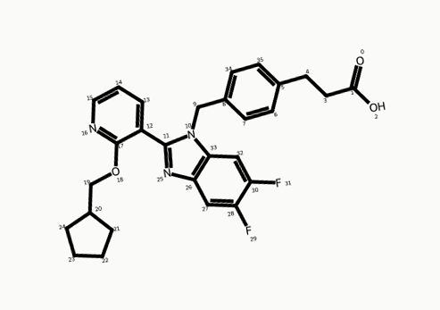 O=C(O)CCc1ccc(Cn2c(-c3cccnc3OCC3CCCC3)nc3cc(F)c(F)cc32)cc1